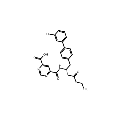 CCOC(=O)C[C@@H](Cc1ccc(-c2cccc(Cl)c2)cc1)NC(=O)c1cc(C(=O)O)ncn1